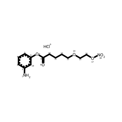 Cl.Nc1cccc(OC(=O)CCCCOCCO[N+](=O)[O-])c1